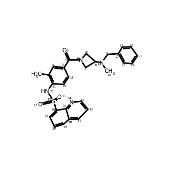 Cc1cc(C(=O)N2CC(N(C)Cc3ccccc3)C2)ccc1NS(=O)(=O)c1cccc2cccnc12